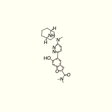 CN(C)C(=O)c1cc2cc(-c3ccc(N(C)[C@H]4C[C@H]5CCC[C@@H](C4)N5)nn3)c(O)cc2o1